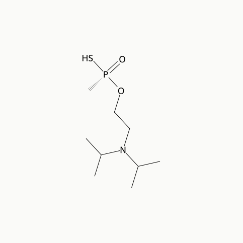 CC(C)N(CCO[P@](C)(=O)S)C(C)C